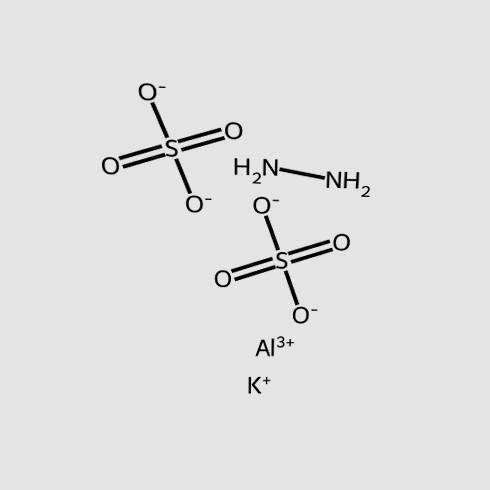 NN.O=S(=O)([O-])[O-].O=S(=O)([O-])[O-].[Al+3].[K+]